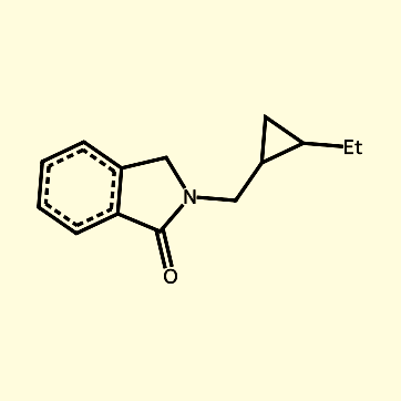 CCC1CC1CN1Cc2ccccc2C1=O